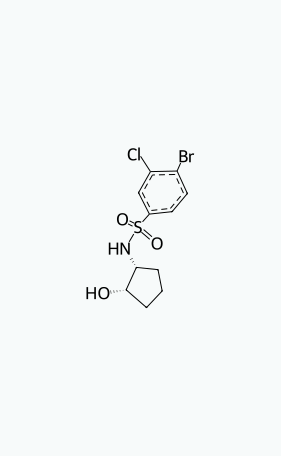 O=S(=O)(N[C@@H]1CCC[C@@H]1O)c1ccc(Br)c(Cl)c1